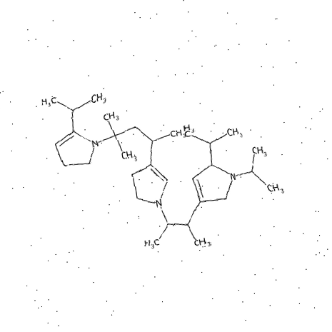 CC(C)C1=CCCN1C(C)(C)CC(C)C1=CN(C(C)C(C)C2=CC(C(C)C)N(C(C)C)C2)CC1